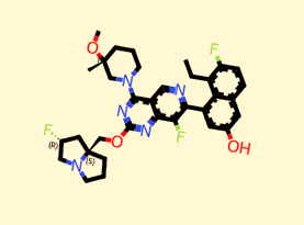 CCc1c(F)ccc2cc(O)cc(-c3ncc4c(N5CCC[C@@](C)(OC)C5)nc(OC[C@@]56CCCN5C[C@H](F)C6)nc4c3F)c12